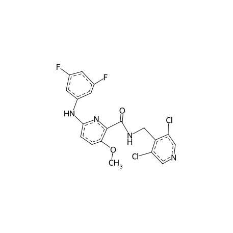 COc1ccc(Nc2cc(F)cc(F)c2)nc1C(=O)NCc1c(Cl)cncc1Cl